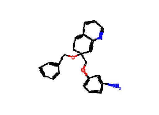 Nc1cccc(OCC2(OCc3ccccc3)C=c3ncccc3=CC2)c1